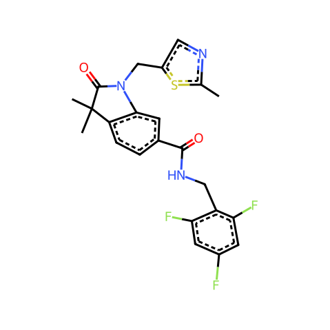 Cc1ncc(CN2C(=O)C(C)(C)c3ccc(C(=O)NCc4c(F)cc(F)cc4F)cc32)s1